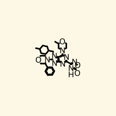 CC1CCC(Cn2c(N3CCOCC3c3ccccc3)nc3nc(-c4noc(=O)[nH]4)nc(N4CCOC(C)C4)c32)CC1